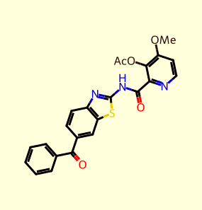 COc1ccnc(C(=O)Nc2nc3ccc(C(=O)c4ccccc4)cc3s2)c1OC(C)=O